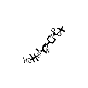 CB(OC(C)(C)C(C)(C)O)c1cnn(C2CCN(C(=O)OC(C)(C)C)CC2)c1